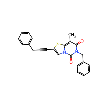 Cc1c(=O)n(Cc2ccccc2)c(=O)n2cc(C#CCc3ccccc3)sc12